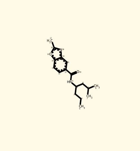 CCCC(CC(C)C)NC(=O)c1ccc2oc(C)nc2c1